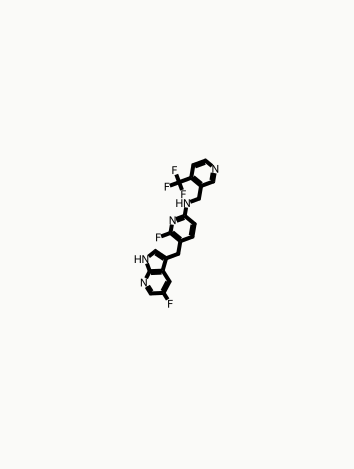 Fc1cnc2[nH]cc(Cc3ccc(NCc4cnccc4C(F)(F)F)nc3F)c2c1